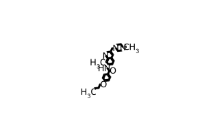 CCCCOc1ccc(C(=O)Nc2ccc3cc(CN4CCN(C)CC4)cnc3c2C)cc1